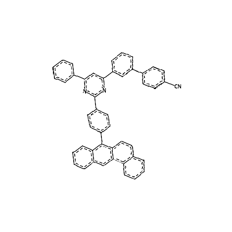 N#Cc1ccc(-c2cccc(-c3cc(-c4ccccc4)nc(-c4ccc(-c5c6ccccc6cc6c5ccc5ccccc56)cc4)n3)c2)cc1